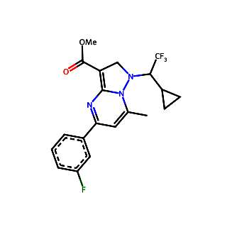 COC(=O)C1=C2N=C(c3cccc(F)c3)C=C(C)N2N(C(C2CC2)C(F)(F)F)C1